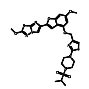 COc1cc(OCc2csc(N3CCN(S(=O)(=O)C(C)C)CC3)n2)c2cc(-c3cn4nc(OC)sc4n3)oc2c1